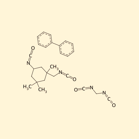 CC1(C)CC(N=C=O)CC(C)(CN=C=O)C1.O=C=NCN=C=O.c1ccc(-c2ccccc2)cc1